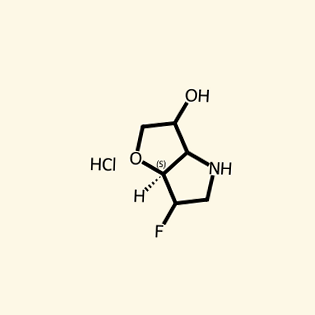 Cl.OC1CO[C@@H]2C(F)CNC12